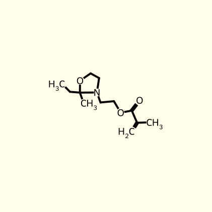 C=C(C)C(=O)OCCN1CCOC1(C)CC